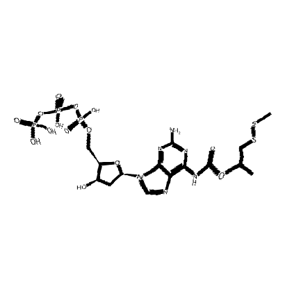 CSSCC(C)OC(=O)Nc1nc(N)nc2c1ncn2[C@H]1C[C@@H](O)[C@@H](COP(=O)(O)OP(=O)(O)OP(=O)(O)O)O1